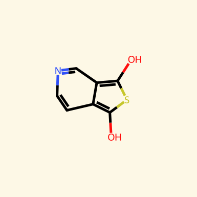 Oc1sc(O)c2cnccc12